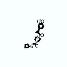 O=C(CSC1CCCC1)N1CCN(C(=O)C2CC2c2ccc3c(c2)OCO3)CC1